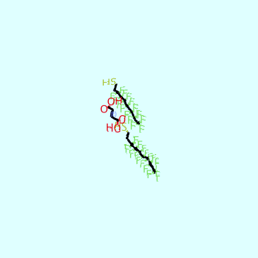 FC(F)(F)C(F)(F)C(F)(F)C(F)(F)C(F)(F)C(F)(F)C(F)(F)CCS.FC(F)(F)C(F)(F)C(F)(F)C(F)(F)C(F)(F)C(F)(F)C(F)(F)CCS.O=C(O)/C=C/C(=O)O